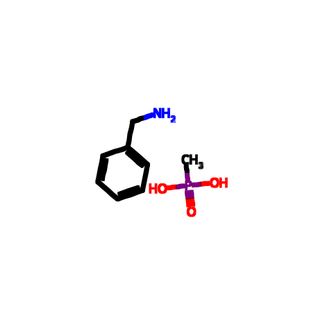 CP(=O)(O)O.NCc1ccccc1